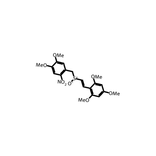 COc1cc(OC)c(C=C[S+]([O-])Cc2cc(OC)c(OC)cc2[N+](=O)[O-])c(OC)c1